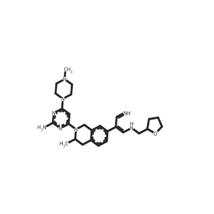 CC1Cc2ccc(/C(C=N)=C/NCC3CCCO3)cc2CN1c1cc(N2CCN(C)CC2)nc(N)n1